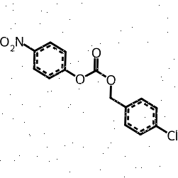 O=C(OCc1ccc(Cl)cc1)Oc1ccc([N+](=O)[O-])cc1